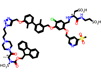 Cc1c(COc2cc(OCc3cncc(S(C)(=O)=O)c3)c(CN[C@@H](CS(=O)(=O)O)C(=O)NCCS(=O)(=O)O)cc2Cl)cccc1-c1cccc(OCc2cn(CCCN3CCN(C(=O)[C@@H](C)N(C(=O)OCC4c5ccccc5-c5ccccc54)S(=O)(=O)O)CC3)nn2)c1C